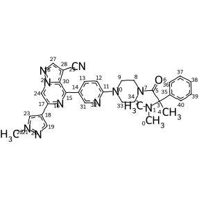 CN(C)C(C)(C(=O)N1CCN(c2ccc(-c3nc(-c4cnn(C)c4)cn4ncc(C#N)c34)cn2)CC1)c1ccccc1